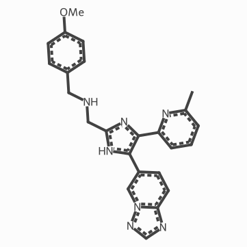 COc1ccc(CNCc2nc(-c3cccc(C)n3)c(-c3ccc4ncnn4c3)[nH]2)cc1